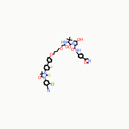 CC(C)(C)C(NC(=O)COCCCCOc1ccc(-c2ccc(N3C(=S)N(c4ccc(C#N)c(Cl)c4)C(=O)C3(C)C)cc2F)cc1)C(=O)N1C[C@H](O)C[C@H]1C(=O)NCc1ccc(-c2cnco2)cc1